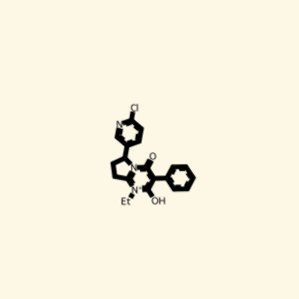 CC[n+]1c(O)c(-c2ccccc2)c(=O)n2c1CCC2c1ccc(Cl)nc1